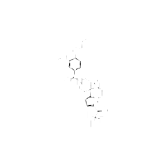 CCCOc1ccc(C(=O)N2CCC3(CC2)c2ccc(C(=O)C(F)(F)F)n2CCN3C)cc1OC